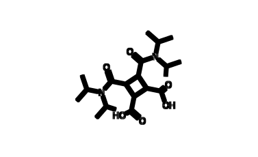 CC(C)N(C(=O)C1C(C(=O)O)C(C(=O)O)C1C(=O)N(C(C)C)C(C)C)C(C)C